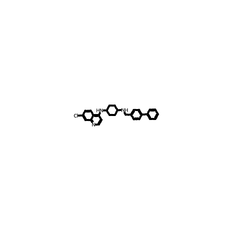 Clc1ccc2c(NC3CCC(NCc4ccc(-c5ccccc5)cc4)CC3)ccnc2c1